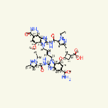 CCn1nc(C)cc1C(=O)Nc1nc2cc(C(N)=O)cc(OC)c2n1C/C=C/Cn1c(NC(=O)c2cc(C)nn2CC)nc2cc(C(N)=O)cc(OC3CC(C(=O)O)C3)c21